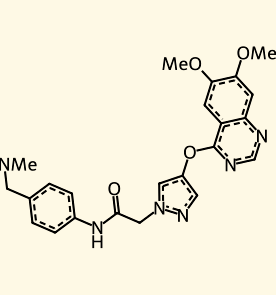 CNCc1ccc(NC(=O)Cn2cc(Oc3ncnc4cc(OC)c(OC)cc34)cn2)cc1